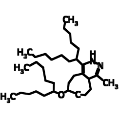 CCCCCCC(CCCCC)C1=C2CCC(OC(CCCCC)CCCCC)CCCC2C(C)=NN1